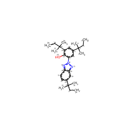 CCC(C)(C)c1cc(-n2nc3ccc(C(C)(C)CC)cc3n2)c(O)c(C(C)(C)CC)c1